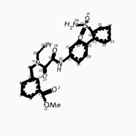 COC(=O)c1cccc(CN(CC(C)C)C(=O)C(=O)Nc2ccc(-c3ccccc3S(N)(=O)=O)cc2)c1